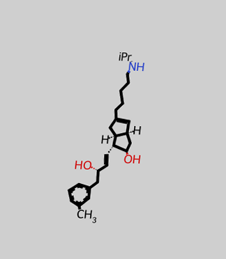 Cc1cccc(C[C@H](O)/C=C/[C@@H]2[C@H]3CC(CCCCCNC(C)C)=C[C@H]3C[C@H]2O)c1